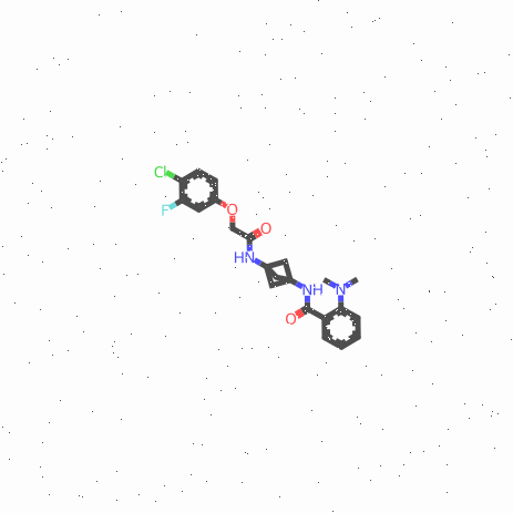 CN(C)c1ccccc1C(=O)NC12CC(NC(=O)COc3ccc(Cl)c(F)c3)(C1)C2